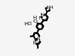 Cc1cn2cc(-c3ccc(-c4ccc(C5CNC5)nn4)c(O)c3)cc(C)c2n1.Cl